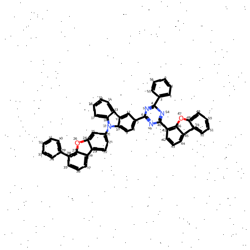 c1ccc(-c2nc(-c3ccc4c(c3)c3ccccc3n4-c3ccc4c(c3)oc3c(-c5ccccc5)cccc34)nc(-c3cccc4c3oc3ccccc34)n2)cc1